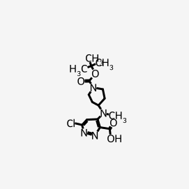 CN(c1cc(Cl)nnc1C(=O)O)C1CCN(C(=O)OC(C)(C)C)CC1